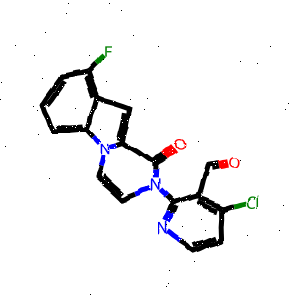 O=Cc1c(Cl)ccnc1-n1ccn2c(cc3c(F)cccc32)c1=O